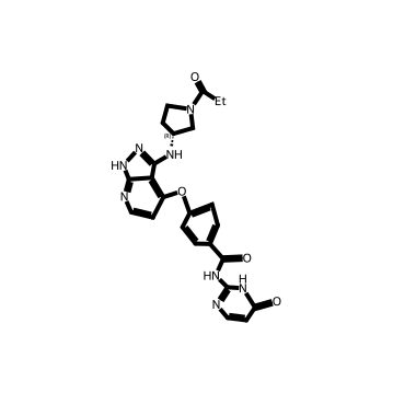 CCC(=O)N1CC[C@@H](Nc2n[nH]c3nccc(Oc4ccc(C(=O)Nc5nccc(=O)[nH]5)cc4)c23)C1